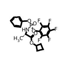 C[C@H](N[P@](=O)(Oc1ccccc1)Oc1c(F)c(F)c(F)c(F)c1F)C(=O)OC1CCC1